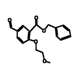 COCCOc1ccc(C=O)cc1C(=O)OCc1ccccc1